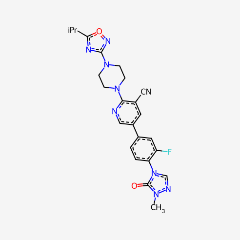 CC(C)c1nc(N2CCN(c3ncc(-c4ccc(-n5cnn(C)c5=O)c(F)c4)cc3C#N)CC2)no1